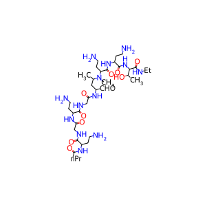 CCCC(=O)NC(CCN)C(=O)NCC(=O)NC(CCN)C(=O)NCC(=O)NC(C=O)CC(C)N(C)C(CCN)C(=O)NC(CCN)C(=O)NC(C(=O)NCC)C(C)O